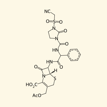 CC(=O)OCC1=C(C(=O)O)N2C(=O)C(NC(=O)C(NC(=O)N3CCN(S(=O)(=O)CC#N)C3=O)c3ccccc3)[C@@H]2SC1